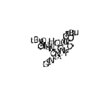 CC(C)(C)OC(=O)Oc1cccc(F)c1-c1nc(N2CC(N3CCOCC3)CC2(C)C)c2c(c1Cl)OC[C@H]1CN(C(=O)OC(C)(C)C)CCN1C2=O